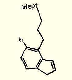 CCCCCCCCCCc1c(Br)ccc2c1C=CC2